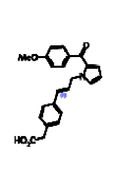 COc1ccc(C(=O)c2cccn2C/C=C/c2ccc(CC(=O)O)cc2)cc1